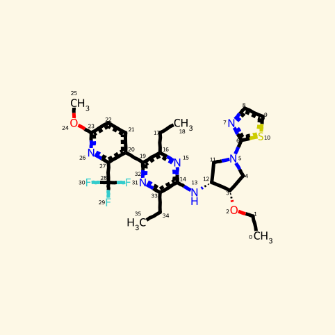 CCO[C@H]1CN(c2nccs2)C[C@H]1Nc1nc(CC)c(-c2ccc(OC)nc2C(F)(F)F)nc1CC